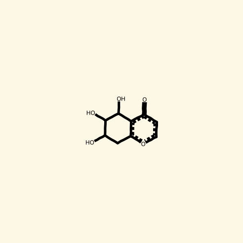 O=c1ccoc2c1C(O)C(O)C(O)C2